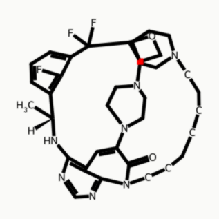 C[C@H]1Nc2ncnc3c2cc(N2CCN(C4COC4)CC2)c(=O)n3CCCCCCCN2CCC(CC2)C(F)(F)c2cccc1c2F